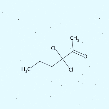 CCCC(Cl)(Cl)C(C)=O